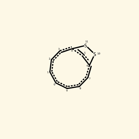 c1cccc2cc(ccc1)SS2